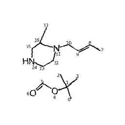 CC(C)(C)OC=O.CC=CCN1CCNCC1C